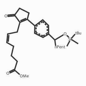 CCCCCC(O[Si](C)(C)C(C)(C)C)c1ccc(C2=C(C/C=C\CCCC(=O)OC)C(=O)CC2)cc1